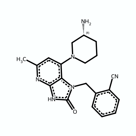 Cc1cc(N2CCC[C@@H](N)C2)c2c(n1)[nH]c(=O)n2Cc1ccccc1C#N